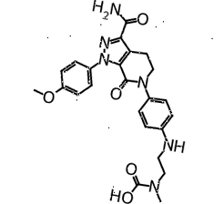 COc1ccc(-n2nc(C(N)=O)c3c2C(=O)N(c2ccc(NCCN(C)C(=O)O)cc2)CC3)cc1